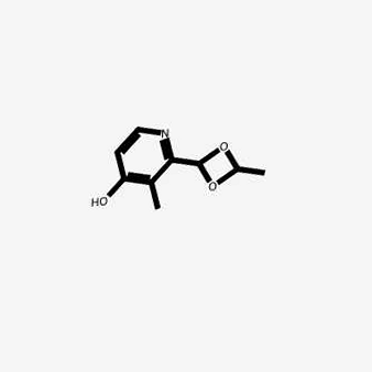 Cc1c(O)ccnc1C1OC(C)O1